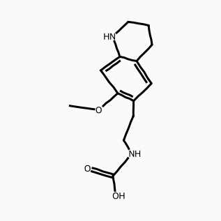 COc1cc2c(cc1CCNC(=O)O)CCCN2